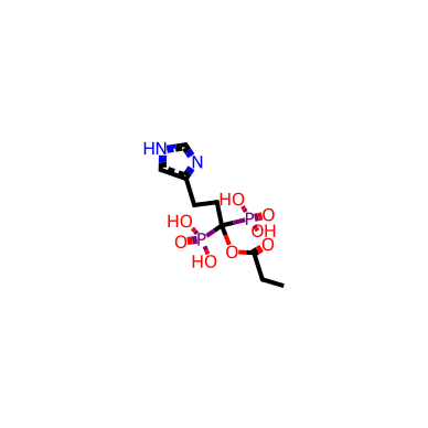 CCC(=O)OC(CCc1c[nH]cn1)(P(=O)(O)O)P(=O)(O)O